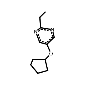 CCc1ncc(OC2CCCC2)cn1